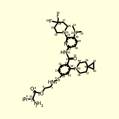 CC(C)[C@H](N)C(=O)OCCNSc1ccc(C(=O)Nc2ccc(N(C)C)c(N3CCC(F)(F)CC3)n2)c(N2CCC3(CC2)CC3)c1